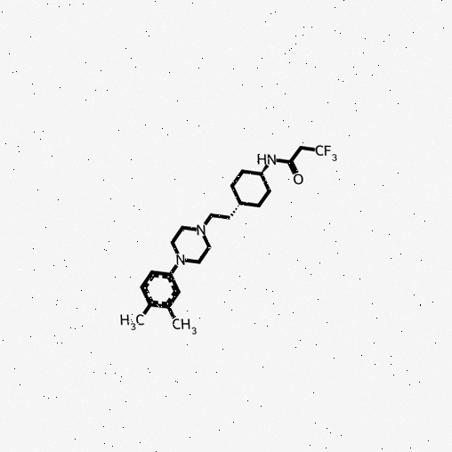 Cc1ccc(N2CCN(CC[C@H]3CC[C@H](NC(=O)CC(F)(F)F)CC3)CC2)cc1C